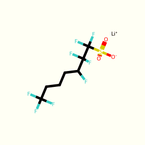 O=S(=O)([O-])C(F)(F)C(F)(F)C(F)CCCC(F)(F)F.[Li+]